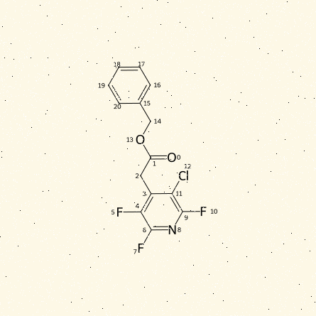 O=C(Cc1c(F)c(F)nc(F)c1Cl)OCc1ccccc1